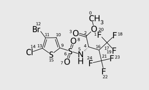 COC(=O)[C@@H](NS(=O)(=O)c1cc(Br)c(Cl)s1)C(C(F)(F)F)C(F)(F)F